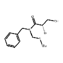 CC(C)(C)SCN(Cc1ccccc1)C(=O)[C@@H](Br)CO